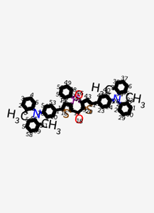 Cc1ccccc1N(c1ccc(-c2cc3c(s2)C(=O)c2sc(-c4ccc(N(c5ccccc5C)c5ccccc5C)cc4)cc2P3(=O)c2ccccc2)cc1)c1ccccc1C